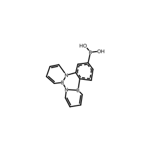 OB(O)c1ccc2c(c1)N1C=CC=CB1N1C=CC=CB21